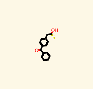 O=C(c1ccccc1)c1ccc(CC(O)=S)cc1